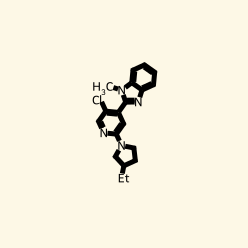 CCC1CCN(c2cc(-c3nc4ccccc4n3C)c(Cl)cn2)C1